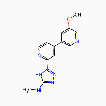 CNc1nnc(-c2cc(-c3cncc(OC)c3)ccn2)[nH]1